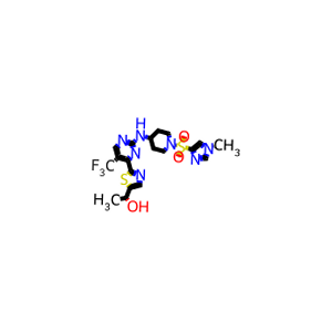 CC(O)c1cnc(-c2nc(NC3CCN(S(=O)(=O)c4cn(C)cn4)CC3)ncc2C(F)(F)F)s1